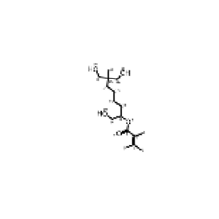 CC(C)=C(C)C(=O)OC(CO)CCCCC(C)(CO)CO